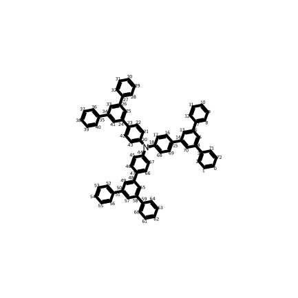 c1ccc(-c2cc(-c3ccccc3)cc(-c3ccc(N(c4ccc(-c5cc(-c6ccccc6)cc(-c6ccccc6)c5)cc4)c4ccc(-c5cc(-c6ccccc6)cc(-c6ccccc6)c5)cc4)cc3)c2)cc1